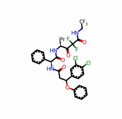 CC(C)[C@H](NC(=O)[C@@H](NC(=O)CC(Oc1ccccc1)c1ccc(Cl)c(Cl)c1)c1ccccc1)C(=O)C(F)(F)C(=O)NCC(F)(F)F